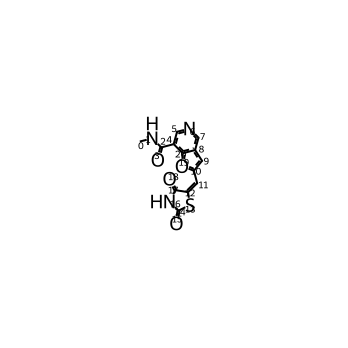 CNC(=O)c1cncc2cc(C=C3SC(=O)NC3=O)oc12